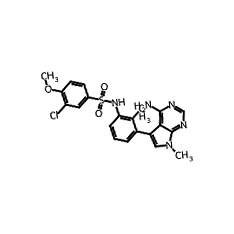 COc1ccc(S(=O)(=O)Nc2cccc(-c3cn(C)c4ncnc(N)c34)c2C)cc1Cl